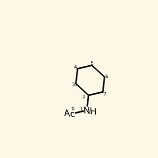 CC(=O)NC1[CH]CCCC1